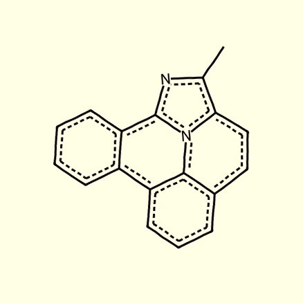 Cc1nc2c3ccccc3c3cccc4ccc1n2c43